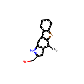 Cc1c2cc(CO)[nH]c2cc2c1sc1ccccc12